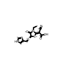 CCn1c(=O)c(=C=Cc2c[nH]cn2)s/c1=C(/C#N)C(=O)O